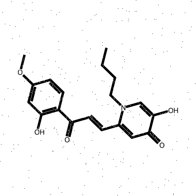 CCCCn1cc(O)c(=O)cc1C=CC(=O)c1ccc(OC)cc1O